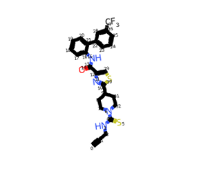 C#CCNC(=S)N1CCC(c2nc(C(=O)Nc3ccccc3-c3cccc(C(F)(F)F)c3)cs2)CC1